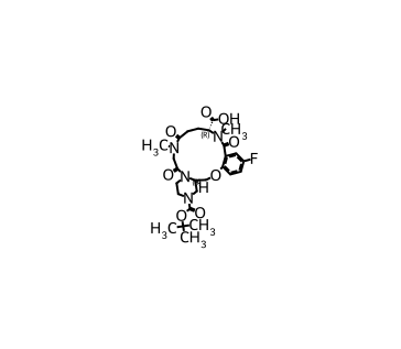 CN1CC(=O)N2CCN(C(=O)OC(C)(C)C)C[C@@H]2COc2ccc(F)cc2C(=O)N(C)[C@@H](C(=O)O)CCC1=O